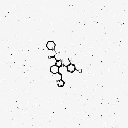 O=C(NN1CCCCC1)c1nn(-c2ccc(Cl)cc2Cl)c2c1CCC/C2=C\c1cccs1